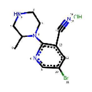 CC1CNCCN1c1ncc(Br)cc1C#N.Cl